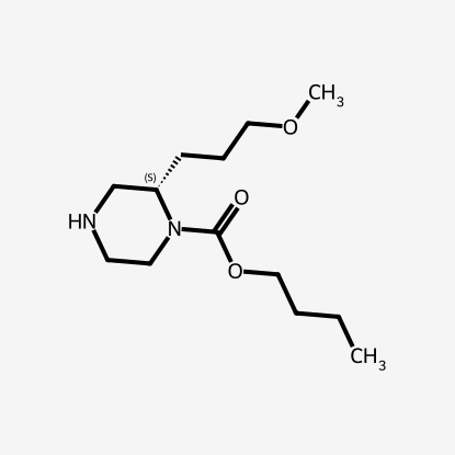 CCCCOC(=O)N1CCNC[C@@H]1CCCOC